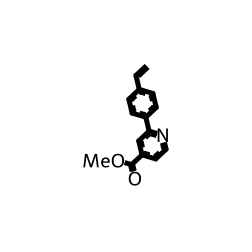 C=Cc1ccc(-c2cc(C(=O)OC)ccn2)cc1